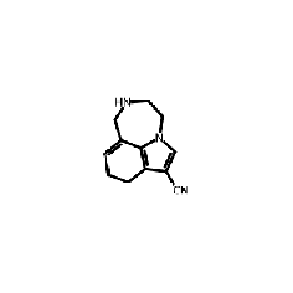 N#Cc1cn2c3c1CCC=C3CNCC2